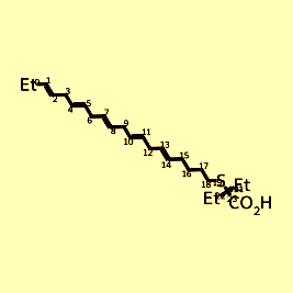 CCC=CCC=CCC=CCC=CCC=CCCCCSC(CC)(CC)C(=O)O